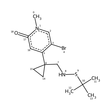 Cn1cc(Br)c(C2(CNSC(C)(C)C)CC2)cc1=O